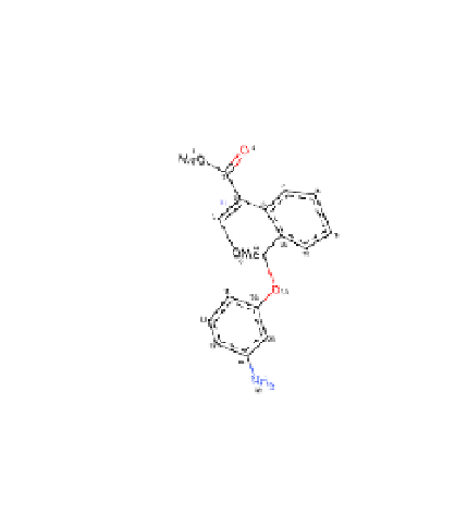 CO/C=C(/C(=O)OC)c1ccccc1COc1cccc(N)c1